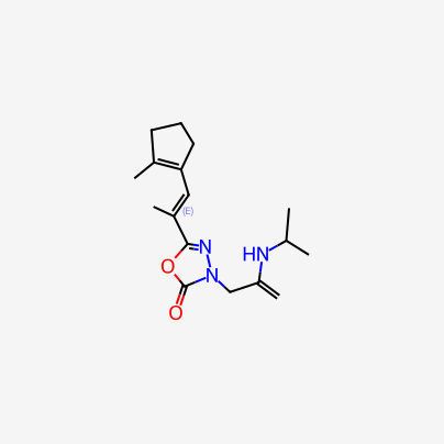 C=C(Cn1nc(/C(C)=C/C2=C(C)CCC2)oc1=O)NC(C)C